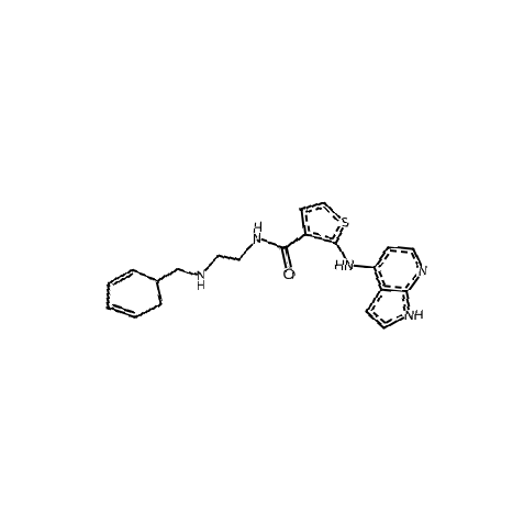 O=C(NCCNCC1C=CC=CC1)c1ccsc1Nc1ccnc2[nH]ccc12